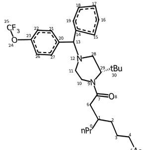 CCCC(CCCC(C)=O)CC(=O)N1CCN(C(c2ccccc2)c2ccc(OC(F)(F)F)cc2)C[C@@H]1C(C)(C)C